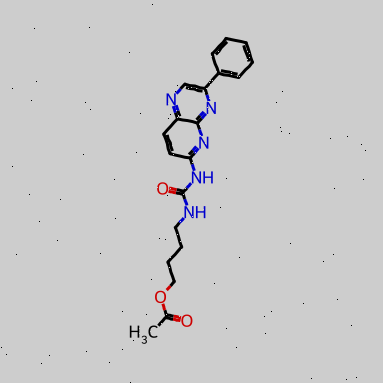 CC(=O)OCCCCNC(=O)Nc1ccc2ncc(-c3ccccc3)nc2n1